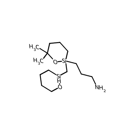 CC1(C)CCC[Si](CCCN)(C[SiH]2CCCCO2)O1